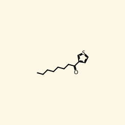 CCCCCCCC(=O)c1ccsc1